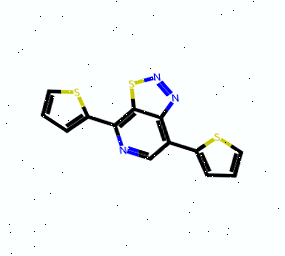 c1csc(-c2cnc(-c3cccs3)c3snnc23)c1